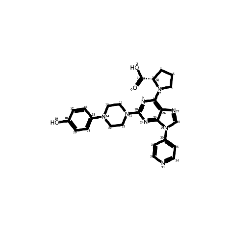 O=C(O)[C@@H]1CCCN1c1nc(N2CCN(c3ccc(O)cc3)CC2)nc2c1ncn2-c1ccncc1